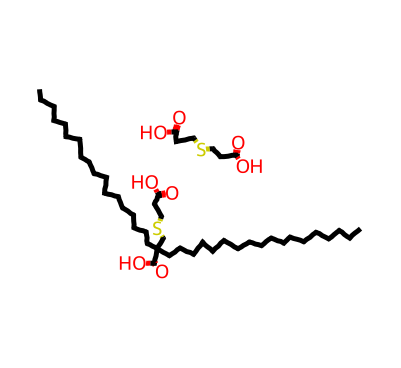 CCCCCCCCCCCCCCCCCCC(CCCCCCCCCCCCCCCCCC)(CSCCC(=O)O)C(=O)O.O=C(O)CCSCCC(=O)O